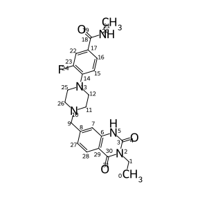 CCn1c(=O)[nH]c2cc(CN3CCN(c4ccc(C(=O)NC)cc4F)CC3)ccc2c1=O